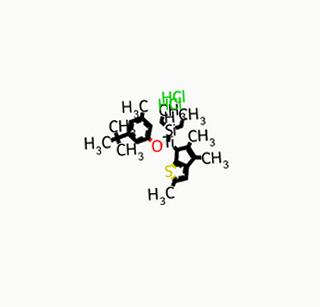 CC[SiH](CC)[Ti]([O]c1cc(C)cc(C(C)(C)C)c1)[CH]1C(C)=C(C)c2cc(C)sc21.Cl.Cl